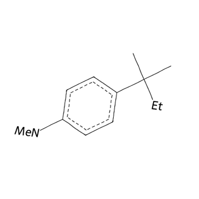 CCC(C)(C)c1ccc(NC)cc1